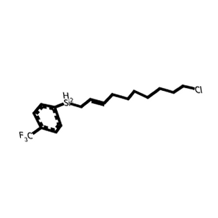 FC(F)(F)c1ccc([SiH2]CC=CCCCCCCCCl)cc1